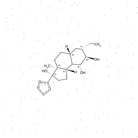 CC[C@H]1C[C@H]2CC[C@@]3(C)[C@@H](CC[C@@]3(O)c3ccco3)C2[C@@H](O)[C@@H]1O